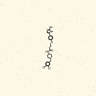 CN=c1scc(-c2ccc(OCCCC(=O)NC3CCN(Cc4ccc(Cl)c(Cl)c4)CC3)cc2)n1C